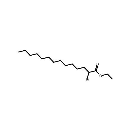 CCCCCCCCCCCCC(Br)C(=O)OCC